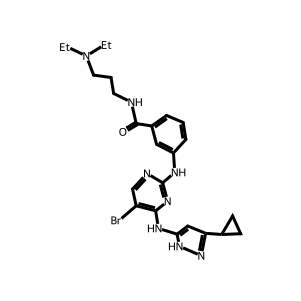 CCN(CC)CCCNC(=O)c1cccc(Nc2ncc(Br)c(Nc3cc(C4CC4)n[nH]3)n2)c1